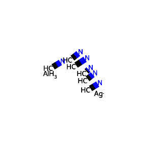 C#N.C#N.C#N.C#N.C#N.C#N.[Ag].[AlH3]